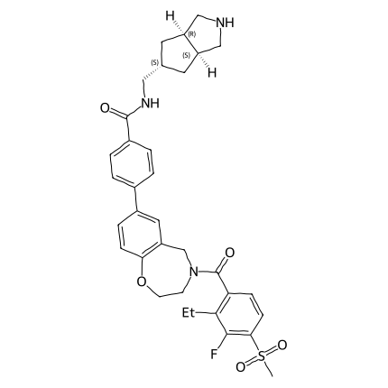 CCc1c(C(=O)N2CCOc3ccc(-c4ccc(C(=O)NC[C@@H]5C[C@H]6CNC[C@H]6C5)cc4)cc3C2)ccc(S(C)(=O)=O)c1F